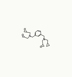 c1cc(CN(CC2CC2)CC2CO2)cc(CN(CC2CO2)CC2CO2)c1